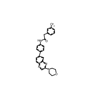 O=C(Cc1cccc(C(F)(F)F)c1)Nc1ccc(-c2ccc3ncc(N4CCOCC4)nc3c2)cc1